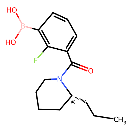 CCC[C@@H]1CCCCN1C(=O)c1cccc(B(O)O)c1F